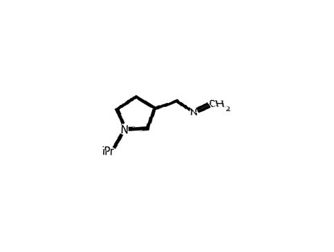 C=NCC1CCN(C(C)C)C1